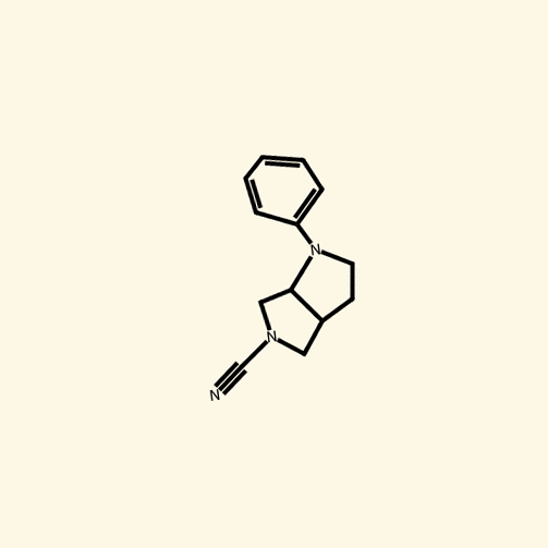 N#CN1CC2CCN(c3ccccc3)C2C1